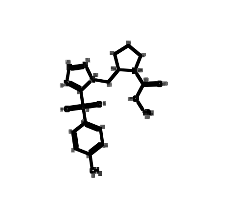 Cc1ccc(S(=O)(=O)c2nnnn2CC2CCCN2C(=O)OC(C)(C)C)cc1